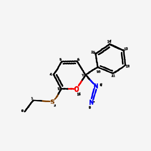 CCSC1=CC=CC(N=[N])(c2ccccc2)O1